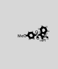 COc1ccc(S(=O)(=O)c2c(C(C)C)n(C)c3ccccc23)cc1